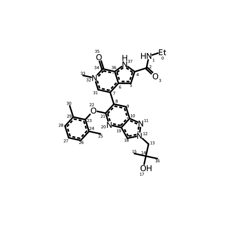 CCNC(=O)c1cc2c(-c3cc4nn(CC(C)(C)O)cc4nc3Oc3c(C)cccc3C)cn(C)c(=O)c2[nH]1